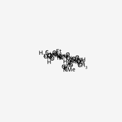 CC[C@H]1O[C@@H](n2cc(C)c(=O)[nH]c2=O)C[C@H]1n1cc(CNC(=O)OC[C@H]2O[C@@H](n3cc(C)c(=O)[nH]c3=O)C[C@H]2OC(=O)CCC(=O)NC)nn1